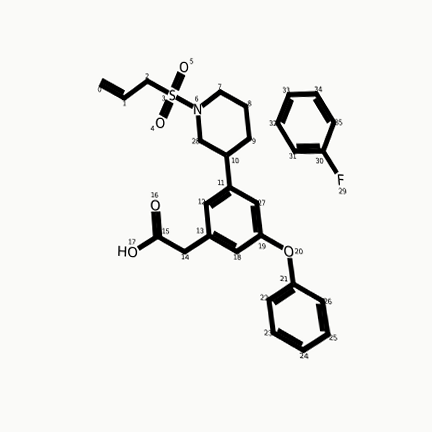 C=CCS(=O)(=O)N1CCCC(c2cc(CC(=O)O)cc(Oc3ccccc3)c2)C1.Fc1ccccc1